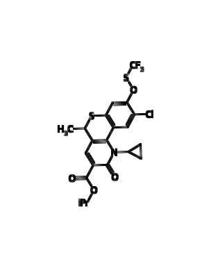 CC(C)OC(=O)c1cc2c(n(C3CC3)c1=O)-c1cc(Cl)c(OSC(F)(F)F)cc1SC2C